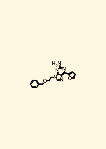 Nc1nc(-c2ccco2)c2ncn(CCOCc3ccccc3)c2n1